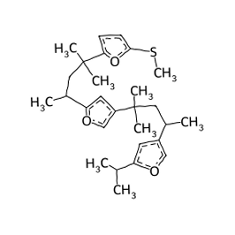 CSc1ccc(C(C)(C)CC(C)c2cc(C(C)(C)CC(C)c3coc(C(C)C)c3)co2)o1